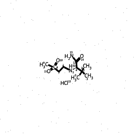 CC(C)(C)[C@H](NCCS(C)(=O)=O)C(N)=O.Cl